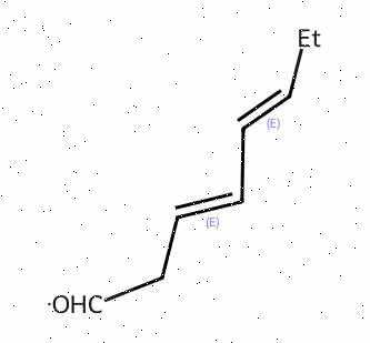 CC/C=C/C=C/C[C]=O